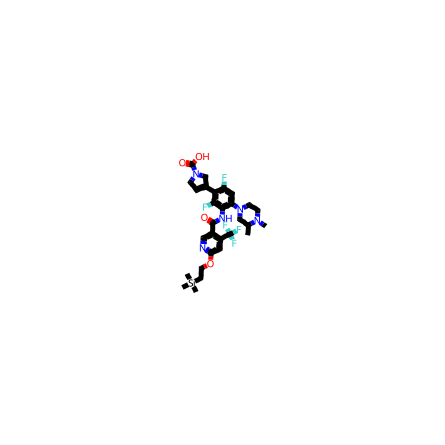 CC1CN(c2cc(F)c(C3=CCN(C(=O)O)C3)c(F)c2NC(=O)c2cnc(OCC[Si](C)(C)C)cc2C(F)(F)F)CCN1C